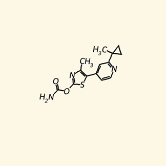 Cc1nc(OC(N)=O)sc1-c1ccnc(C2(C)CC2)c1